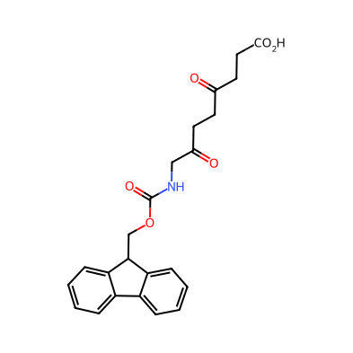 O=C(O)CCC(=O)CCC(=O)CNC(=O)OCC1c2ccccc2-c2ccccc21